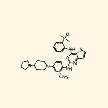 COc1cc(N2CCC(N3CCCC3)CC2)ccc1Nc1nc(Nc2ccccc2P(C)(C)=O)c2sccc2n1